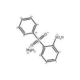 O=S(=O)(O)c1ccccc1S(=O)(=O)c1ccccc1.[MgH2]